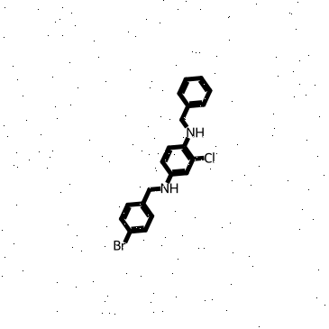 Clc1cc(NCc2ccc(Br)cc2)ccc1NCc1ccccc1